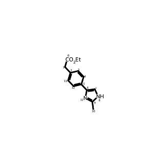 CCOC(=O)Cc1ccc(-c2c[nH]c(C)n2)cc1